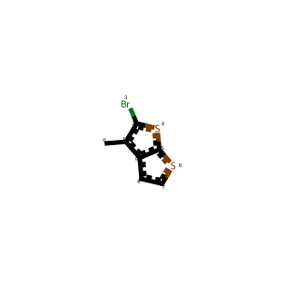 Cc1c(Br)sc2sccc12